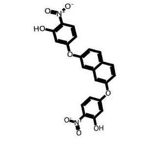 O=[N+]([O-])c1ccc(Oc2ccc3ccc(Oc4ccc([N+](=O)[O-])c(O)c4)cc3c2)cc1O